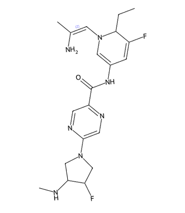 CCC1C(F)=CC(NC(=O)c2cnc(N3CC(F)C(NC)C3)cn2)=CN1/C=C(/C)N